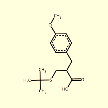 COc1ccc(CC(CSC(C)(C)C)C(=O)O)cc1